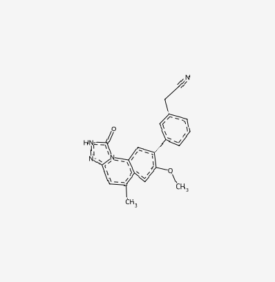 COc1cc2c(C)cc3n[nH]c(=O)n3c2cc1-c1cccc(CC#N)c1